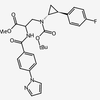 COC(=O)C(CN(C(=O)OC(C)(C)C)[C@@H]1C[C@H]1c1ccc(F)cc1)NC(=O)c1ccc(-n2cccn2)cc1